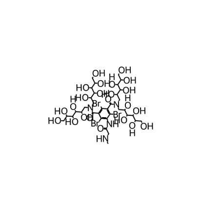 CNCC(=O)Nc1c(Br)c(C(=O)N(CC(O)C(O)C(O)C(O)CO)CC(O)C(O)C(O)C(O)CO)c(Br)c(C(=O)N(CC(O)C(O)C(O)C(O)CO)CC(O)C(O)C(O)C(O)CO)c1Br